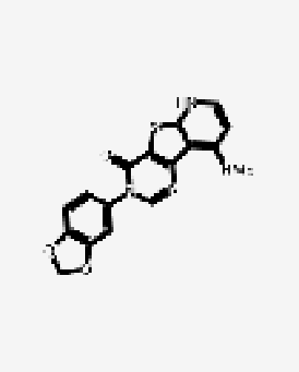 CNC1=C2c3ncn(-c4ccc5c(c4)OCO5)c(=O)c3SC2NC=C1